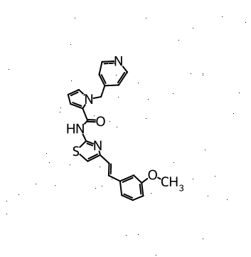 COc1cccc(/C=C/c2csc(NC(=O)c3cccn3Cc3ccncc3)n2)c1